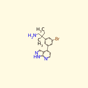 CCC(C)(CN)c1cc(Br)cc(-c2ccnc3[nH]ncc23)c1